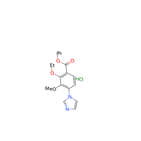 CCOc1c(C(=O)OC(C)C)ccc(-n2ccnc2)c1OC.Cl